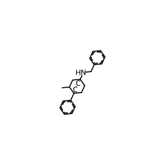 CC1CC2(NCc3ccccc3)CCC1(c1ccccc1)CC2